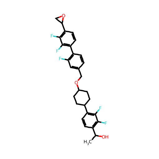 CC(O)c1ccc(C2CCC(OCc3ccc(-c4ccc(C5CO5)c(F)c4F)c(F)c3)CC2)c(F)c1F